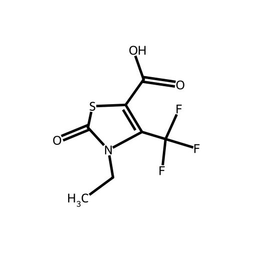 CCn1c(C(F)(F)F)c(C(=O)O)sc1=O